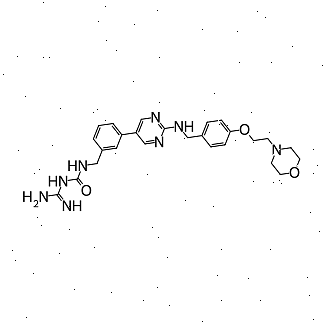 N=C(N)NC(=O)NCc1cccc(-c2cnc(NCc3ccc(OCCN4CCOCC4)cc3)nc2)c1